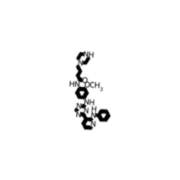 COc1cc(Nc2ncnc(-c3cccnc3Nc3ccccc3)n2)ccc1NC(=O)CCCN1CCNCC1